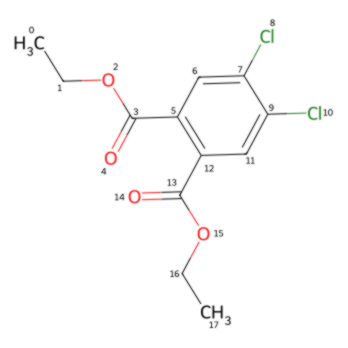 CCOC(=O)c1cc(Cl)c(Cl)cc1C(=O)OCC